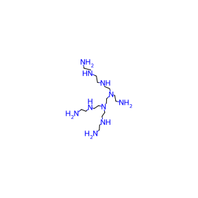 NCCNCCNCCN(CCN)CCN(CCNCCN)CCNCCN